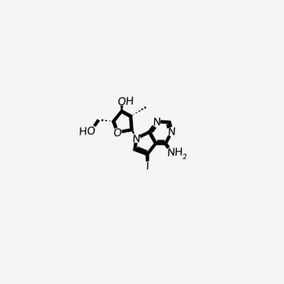 C[C@H]1[C@H](O)[C@@H](CO)O[C@H]1n1cc(I)c2c(N)ncnc21